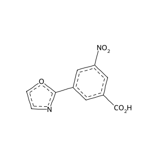 O=C(O)c1cc(-c2ncco2)cc([N+](=O)[O-])c1